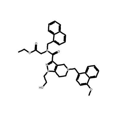 CCOC(=O)CN(Cc1cccc2ccccc12)C(=O)c1nn(CCO)c2c1CN(Cc1ccc(OC)c3ccccc13)CC2